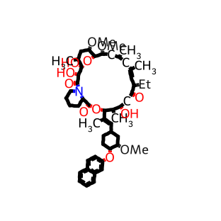 CCC1/C=C(\C)CC(C)CC(OC)C2OC(O)(C(C)CC2OC)C(O)C(=O)N2CCCCC2C(=O)OC(C(C)=CC2CCC(Oc3ccc4ccccc4c3)C(OC)C2)C(C)C(O)CC1=O